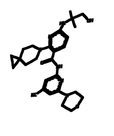 CC(C)(CO)Nc1ccc(C(=O)Nc2cc(C#N)cc(N3CCOCC3)n2)c(N2CCC3(CC2)CC3)n1